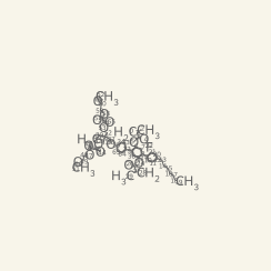 C=C(C)C(=O)Oc1cc(-c2ccc(CCCCCCC)cc2F)c(OC(=O)C(=C)C)cc1-c1ccc(OCC(CC)(COC(=O)C(=O)OCCOC)COC(=O)C(=O)OCCOC)cc1